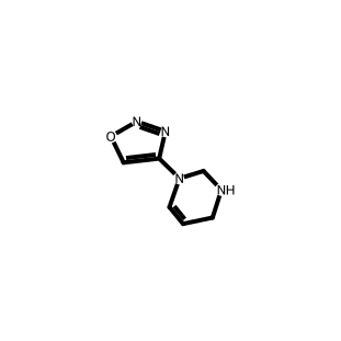 C1=CN(c2conn2)CNC1